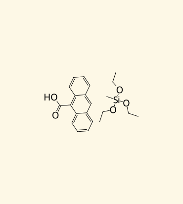 CCO[Si](C)(OCC)OCC.O=C(O)c1c2ccccc2cc2ccccc12